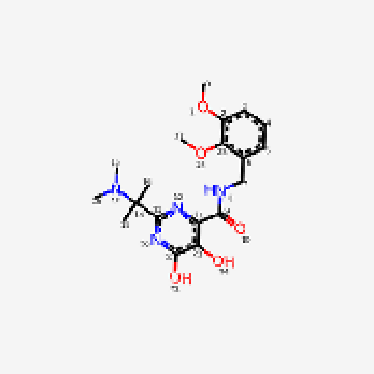 COc1cccc(CNC(=O)c2nc(C(C)(C)N(C)C)nc(O)c2O)c1OC